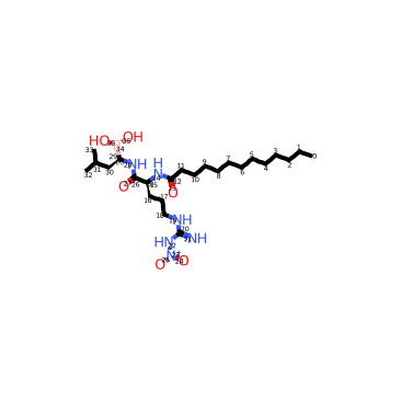 CCCCCCCCCCCCC(=O)N[C@@H](CCCNC(=N)N[N+](=O)[O-])C(=O)N[C@@H](CC(C)C)B(O)O